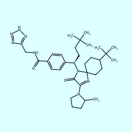 CC1CCCN1C1=NC2(CCC(C(C)(C)C)CC2)N([C@H](CCC(C)(C)C)c2ccc(C(=O)NCc3nn[nH]n3)cc2)C1=O